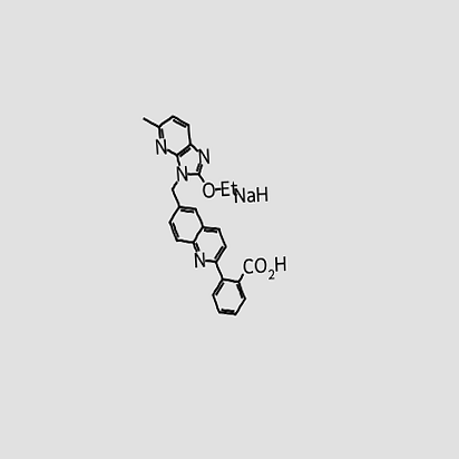 CCOc1nc2ccc(C)nc2n1Cc1ccc2nc(-c3ccccc3C(=O)O)ccc2c1.[NaH]